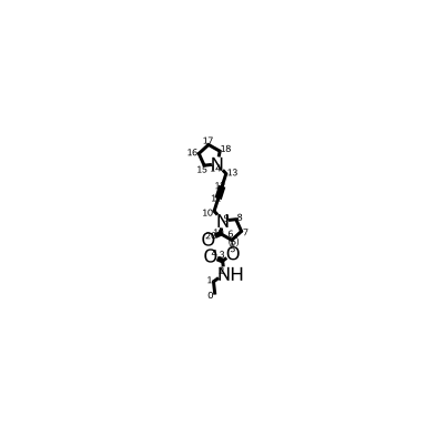 CCNC(=O)O[C@H]1CCN(CC#CCN2CCCC2)C1=O